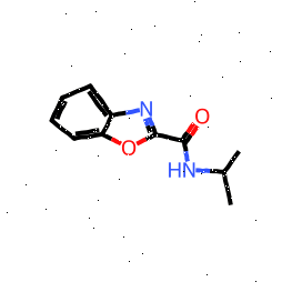 CC(C)NC(=O)c1nc2ccccc2o1